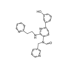 O=CN(Cc1cccnc1)c1ccc(-c2cccc(O)c2)nc1NCCc1ccccn1